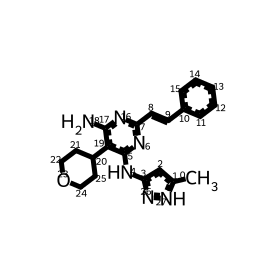 Cc1cc(Nc2nc(C=Cc3ccccc3)nc(N)c2C2CCOCC2)n[nH]1